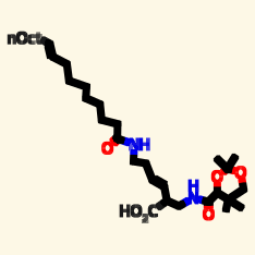 CCCCCCCCC=CCCCCCCCC(=O)NCCC=CC(CNC(=O)C1OC(C)(C)OCC1(C)C)C(=O)O